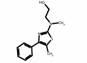 Cc1sc(N(C)CCO)nc1-c1ccccc1